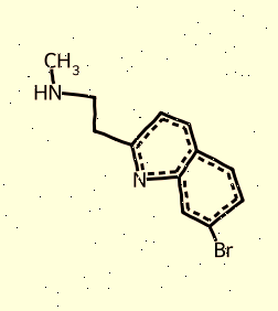 CNCCc1ccc2ccc(Br)cc2n1